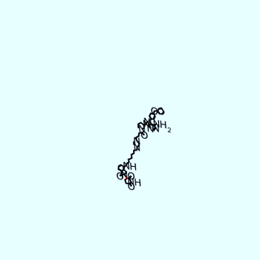 Nc1ncnc2c1c(-c1ccc(Oc3ccccc3)cc1)nn2C1CCCN(C(=O)CCCN2CCN(CCCCCCCCNc3cccc4c3CN(C3CCC(=O)NC3=O)C4=O)CC2)C1